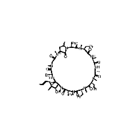 C/C=C/CC(C)[C@H](O)C1C(=O)N[C@@H](CC)C(=O)N(C)CC(=O)N(C)[C@H]2CC(C)N(C2=O)[C@@H](C(C)C)C(=O)N(C)[C@@H](CC(C)C)C(=O)N[C@@H](C)C(=O)N[C@H](C)C(=O)N(C)[C@@H](CC(C)C)C(=O)N(C)[C@@H](CC(C)C)C(=O)N(C)[C@@H](C(C)C)C(=O)N1C